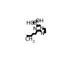 C=CCCCc1nc(B(O)O)cn2ccnc12